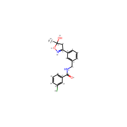 O=C(NCc1cccc(C2=NOC(O)(C(F)(F)F)C2)c1)c1cccc(F)c1